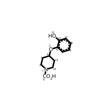 O=C(O)N1CCC(Oc2ccccc2O)CC1